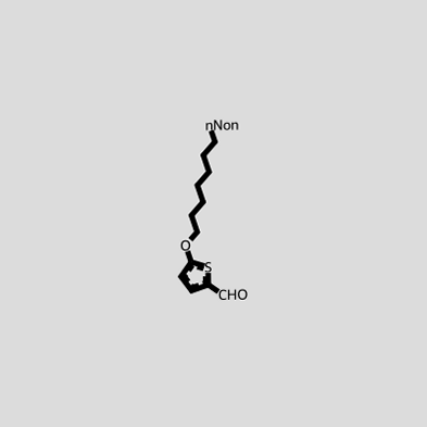 CCCCCCCCCCCCCCCCOc1ccc(C=O)s1